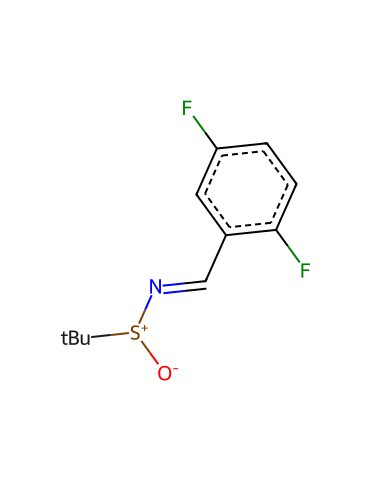 CC(C)(C)[S+]([O-])/N=C/c1cc(F)ccc1F